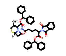 O=CC1=C(C(=O)OC(c2ccccc2)c2ccccc2)[N+]2(NC(=O)CCCC(C(=O)OC(c3ccccc3)c3ccccc3)N3C(=O)c4ccccc4C3=O)C(=O)C[C@@H]2SC1